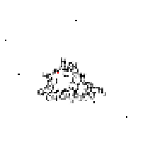 CC(=O)O[C@@H](C)/C=C\C(=O)N[C@@H]1C[C@H](C)[C@H](C/C=C(C)/C=C/[C@H]2OC(CC(=O)N[C@H]3C[C@H](NC(=O)n4ccnc4)C3)C[C@@]3(CO3)[C@@H]2O)O[C@@H]1C